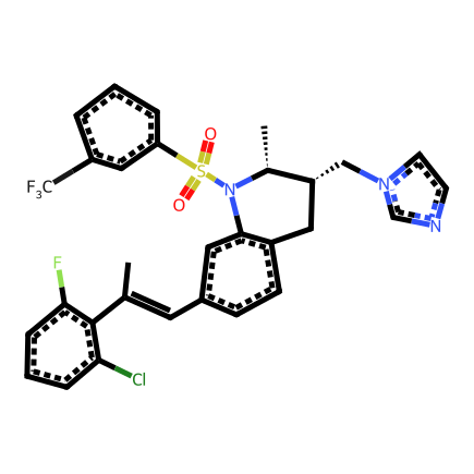 CC(=Cc1ccc2c(c1)N(S(=O)(=O)c1cccc(C(F)(F)F)c1)[C@H](C)[C@H](Cn1ccnc1)C2)c1c(F)cccc1Cl